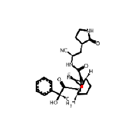 C[C@](O)(C(=O)N1[C@H]2CC[C@@H]([C@H]1C(=O)N[C@@H](C#N)C[C@H]1CCNC1=O)C(F)(F)C2)c1ccccc1